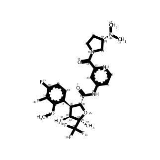 COc1c([C@H]2[C@H](C(=O)Nc3ccnc(C(=O)N4CC[C@H](N(C)C)C4)c3)O[C@@](C)(C(F)(F)F)[C@H]2C)ccc(F)c1F